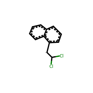 ClC(Cl)[CH]c1cccc2ccccc12